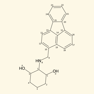 OC1CCCC(O)C1NCc1ccc2c3c(cccc13)-c1ccccc1-2